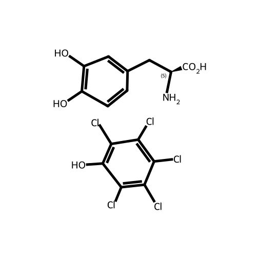 N[C@@H](Cc1ccc(O)c(O)c1)C(=O)O.Oc1c(Cl)c(Cl)c(Cl)c(Cl)c1Cl